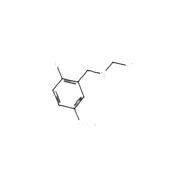 O=C(O)c1ccc(F)c(CNCC(F)(F)F)c1